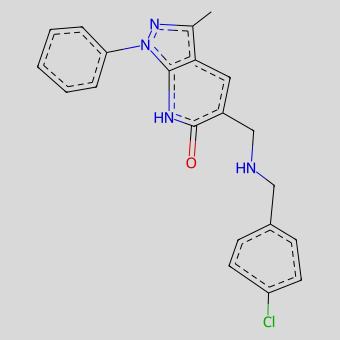 Cc1nn(-c2ccccc2)c2[nH]c(=O)c(CNCc3ccc(Cl)cc3)cc12